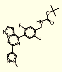 Cn1cc(-c2cn3nccc3c(-c3cc(F)c(CNC(=O)OC(C)(C)C)cc3F)n2)cn1